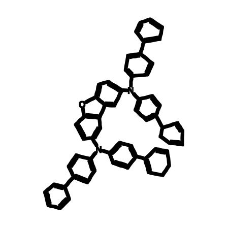 C1=CCC(c2ccc(N(c3ccc(-c4ccccc4)cc3)c3ccc4oc5ccc(N(c6ccc(C7=CCCC=C7)cc6)c6ccc(-c7ccccc7)cc6)cc5c4c3)cc2)C=C1